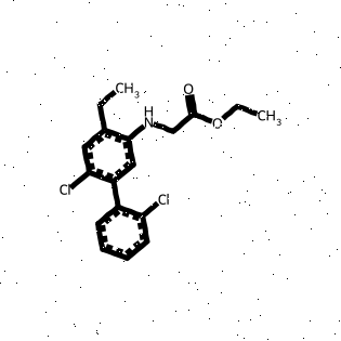 CCOC(=O)CNc1cc(-c2ccccc2Cl)c(Cl)cc1CC